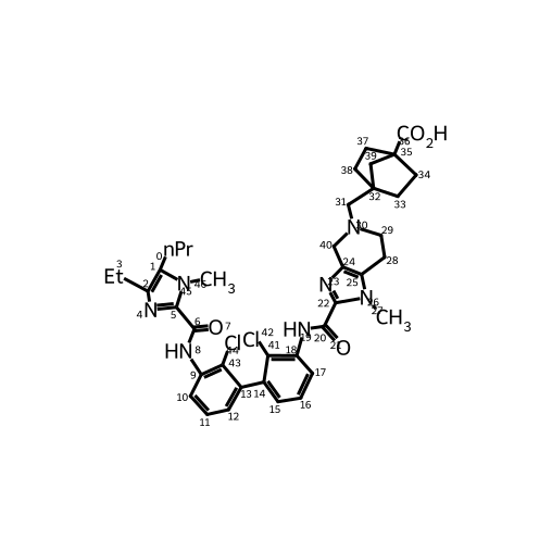 CCCc1c(CC)nc(C(=O)Nc2cccc(-c3cccc(NC(=O)c4nc5c(n4C)CCN(CC46CCC(C(=O)O)(CC4)C6)C5)c3Cl)c2Cl)n1C